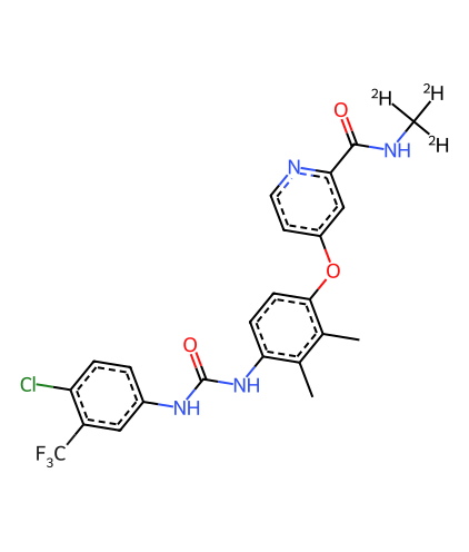 [2H]C([2H])([2H])NC(=O)c1cc(Oc2ccc(NC(=O)Nc3ccc(Cl)c(C(F)(F)F)c3)c(C)c2C)ccn1